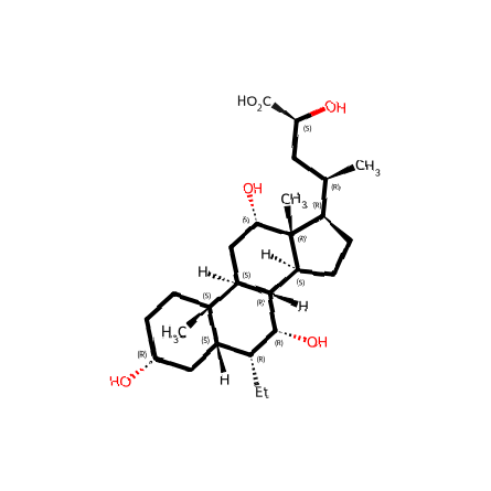 CC[C@H]1[C@@H](O)[C@@H]2[C@H](C[C@H](O)[C@]3(C)[C@@H]([C@H](C)C[C@H](O)C(=O)O)CC[C@@H]23)[C@@]2(C)CC[C@@H](O)C[C@@H]12